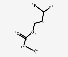 CCCOC(=O)OCCC(F)F